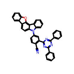 N#Cc1ccc(-n2c3ccccc3c3c4oc5ccccc5c4ccc32)cc1-c1nc(-c2ccccc2)nc(-c2ccccc2)n1